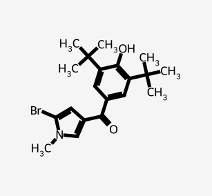 Cn1cc(C(=O)c2cc(C(C)(C)C)c(O)c(C(C)(C)C)c2)cc1Br